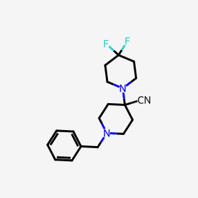 N#CC1(N2CCC(F)(F)CC2)CCN(Cc2ccccc2)CC1